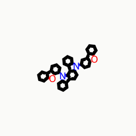 c1ccc2c(c1)oc1ccc(-n3c4ccccc4c4c3ccc3c5ccccc5n(-c5cccc6c5oc5ccccc56)c34)cc12